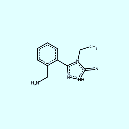 CCn1c(-c2ccccc2CN)n[nH]c1=S